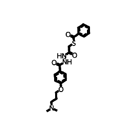 CN(C)CCCOc1ccc(C(=O)NNC(=O)CSC(=O)c2ccccc2)cc1